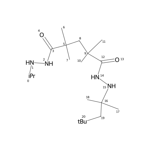 CC(C)NNC(=O)C(C)(C)CC(C)(C)C(=O)NNC(C)(C)CC(C)(C)C